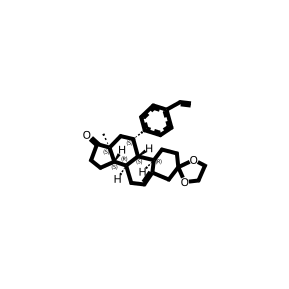 C=Cc1ccc([C@H]2C[C@]3(C)C(=O)CC[C@H]3[C@@H]3CC=C4CC5(CC[C@@H]4[C@H]32)OCCO5)cc1